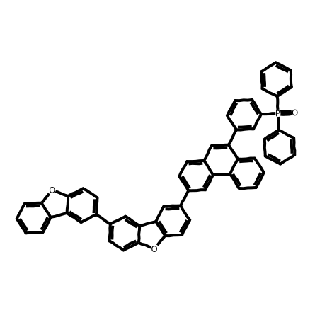 O=P(c1ccccc1)(c1ccccc1)c1cccc(-c2cc3ccc(-c4ccc5oc6ccc(-c7ccc8oc9ccccc9c8c7)cc6c5c4)cc3c3ccccc23)c1